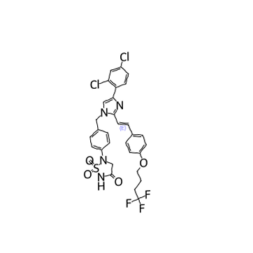 O=C1CN(c2ccc(Cn3cc(-c4ccc(Cl)cc4Cl)nc3/C=C/c3ccc(OCCCC(F)(F)F)cc3)cc2)S(=O)(=O)N1